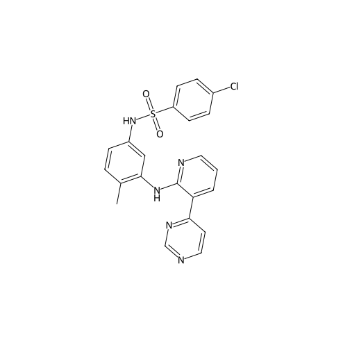 Cc1ccc(NS(=O)(=O)c2ccc(Cl)cc2)cc1Nc1ncccc1-c1ccncn1